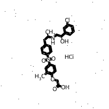 Cc1cc(S(=O)(=O)c2ccc(C[C@@H](C)NC[C@@H](O)c3cccc(Cl)c3)cc2)ccc1OCC(=O)O.Cl